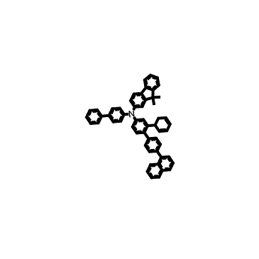 CC1(C)c2ccccc2-c2ccc(N(c3ccc(-c4ccccc4)cc3)c3ccc(-c4ccc(-c5cccc6ccccc56)cc4)c(C4C=CC=CC4)c3)cc21